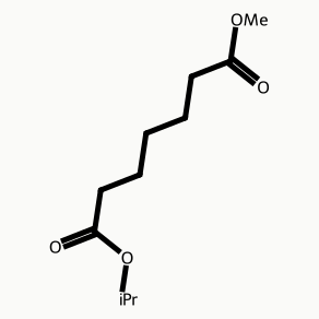 COC(=O)CCCCCC(=O)OC(C)C